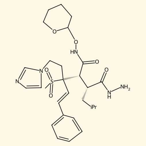 CC(C)C[C@@H](C(=O)NN)[C@@H](C(=O)NOC1CCCCO1)C(/C=C/c1ccccc1)(CCn1ccnc1)S(C)(=O)=O